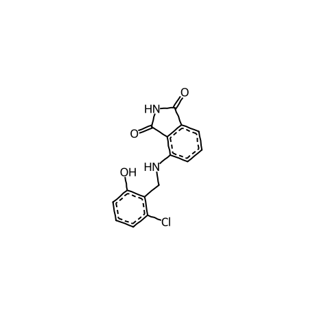 O=C1NC(=O)c2c(NCc3c(O)cccc3Cl)cccc21